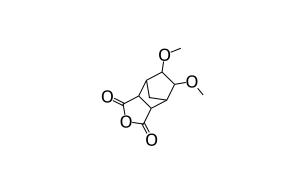 COC1C2CC(C1OC)C1C(=O)OC(=O)C21